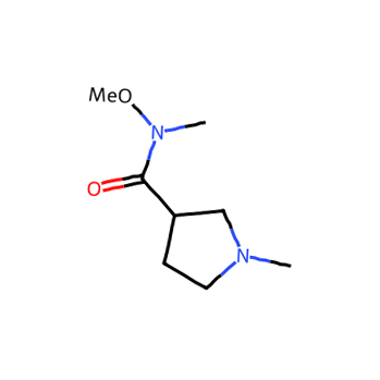 CON(C)C(=O)C1CCN(C)C1